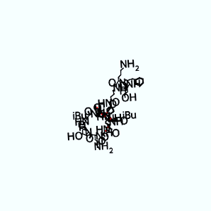 CCC(C)[C@@H]1NC(=O)[C@@H]2C[C@@H](O)CN2C(=O)[C@H](CC(N)=O)NC(=O)[C@@H]2CSc3[nH]c4ccc(NC(=O)CCCNC(=O)[C@@H](CCCCN)NC[C@@H](Cc5ccccc5)NC(=O)CCO)cc4c3C[C@@H](NC1=O)C(=O)NCC(=O)NC[C@@H]([C@@H](C)CC)C(=O)NCC(=O)N2